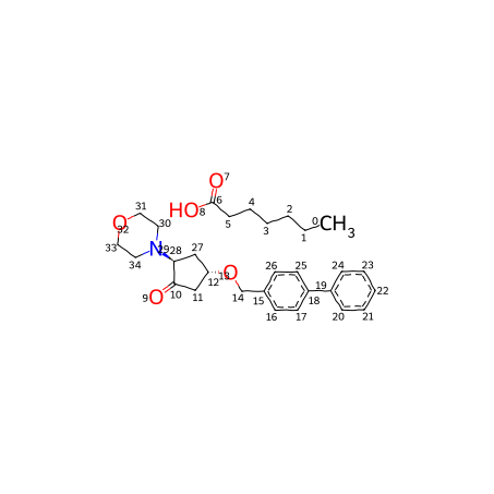 CCCCCCC(=O)O.O=C1C[C@@H](OCc2ccc(-c3ccccc3)cc2)C[C@@H]1N1CCOCC1